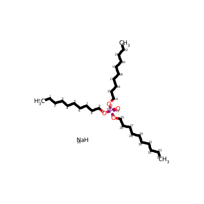 CCCCCCCCCCOP(=O)(OCCCCCCCCCC)OCCCCCCCCCC.[NaH]